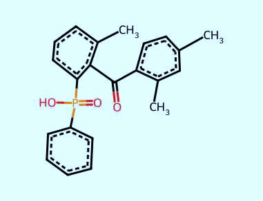 Cc1ccc(C(=O)c2c(C)cccc2P(=O)(O)c2ccccc2)c(C)c1